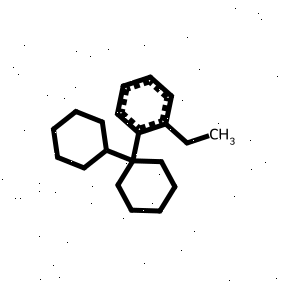 CCc1ccccc1C1(C2CCCCC2)CCCCC1